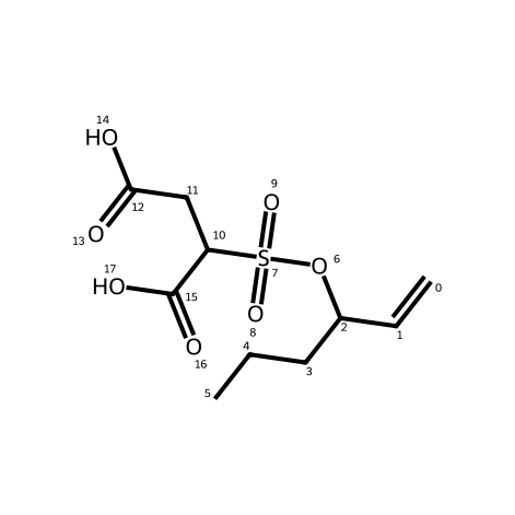 C=CC(CCC)OS(=O)(=O)C(CC(=O)O)C(=O)O